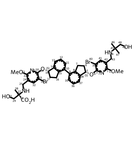 COc1nc(O[C@H]2CCc3c(-c4cccc5c4CC[C@@H]5Oc4nc(OC)c(CN[C@@](C)(CO)C(=O)O)cc4Br)cccc32)c(Br)cc1CNC(C)(C)CO